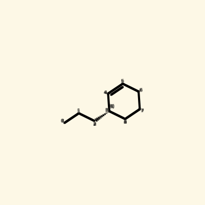 CCC[C@@H]1C=CCCC1